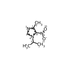 Cc1ncn(C(C)C)c1[N+](=O)[O-]